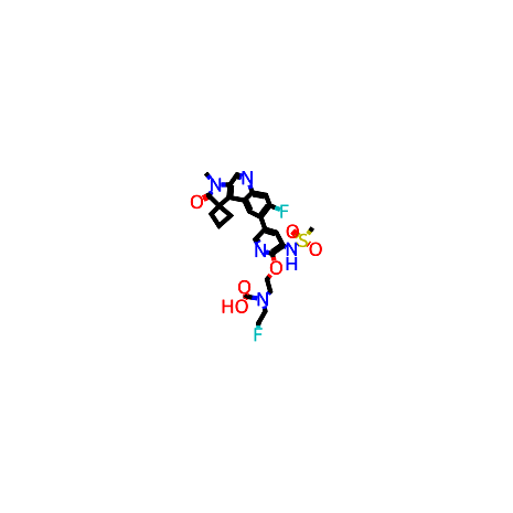 CN1C(=O)C2(CCC2)c2c1cnc1cc(F)c(-c3cnc(OCCN(CCF)C(=O)O)c(NS(C)(=O)=O)c3)cc21